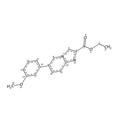 CCOC(=O)c1cn2cc(-c3cccc(OC)c3)ccc2n1